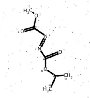 COC(=O)/N=N/C(=O)OC(C)C